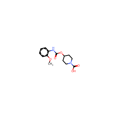 COc1ccccc1NC(=O)OC1CCN(C(=O)O)CC1